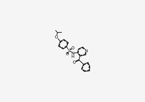 CC(C)Oc1ccc(S(=O)(=O)Nc2ccncc2C(=O)c2ccccc2)cc1